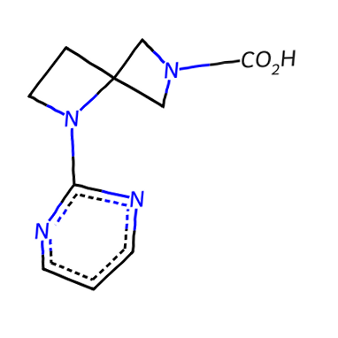 O=C(O)N1CC2(CCN2c2ncccn2)C1